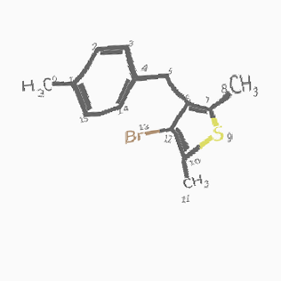 Cc1ccc(Cc2c(C)sc(C)c2Br)cc1